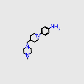 CN1CCN(CC2CCN(c3ccc(N)cc3)CC2)CC1